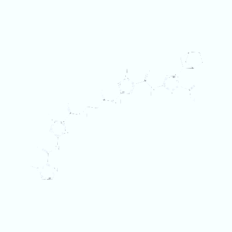 Cn1cc(NC(=O)CCNC(=O)c2nc(NC(=O)c3nccn3C)cn2C)cc1C(=O)Nc1cn(C2CC3CCC2C3)c(C(=O)O)n1